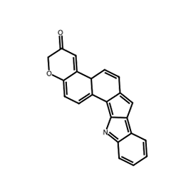 O=C1C=C2C(=CC=C3C4=C5N=c6ccccc6=C5C=C4C=CC23)OC1